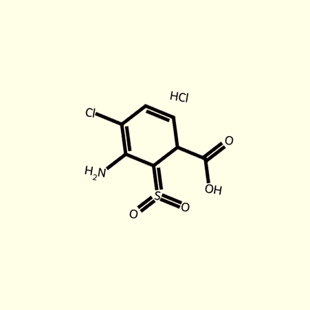 Cl.NC1=C(Cl)C=CC(C(=O)O)C1=S(=O)=O